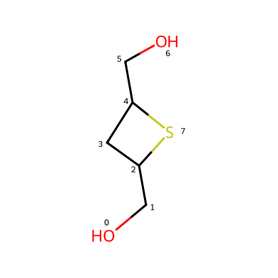 OCC1CC(CO)S1